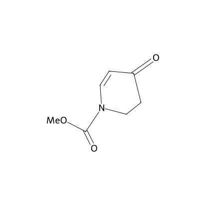 COC(=O)N1C=CC(=O)CC1